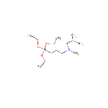 CCO[Si](CCCN(C)CC(C)C)(OCC)OCC